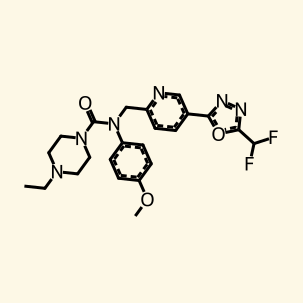 CCN1CCN(C(=O)N(Cc2ccc(-c3nnc(C(F)F)o3)cn2)c2ccc(OC)cc2)CC1